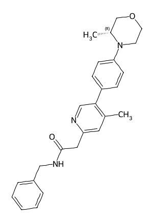 Cc1cc(CC(=O)NCc2ccccc2)ncc1-c1ccc(N2CCOC[C@H]2C)cc1